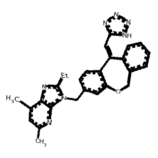 CCc1nc2c(C)cc(C)nc2n1Cc1ccc2c(c1)OCc1ccccc1/C2=C\c1nnn[nH]1